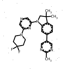 Cc1ncc(-c2ccc3c(c2)N(c2cncc(N4CCC(F)(F)CC4)n2)CC3(C)C)cn1